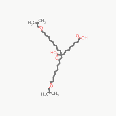 C=C(C)COCCCCCCCCCCC(CCCCCCCCCCOCC(=C)C)(CCCCCCCC(=O)O)C(=O)O